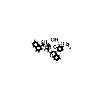 Cc1ccc([C@H]2C[C@@H](CCCNC(C)c3cccc4ccccc34)Oc3ccccc32)c(C)c1C(=O)O.Cl